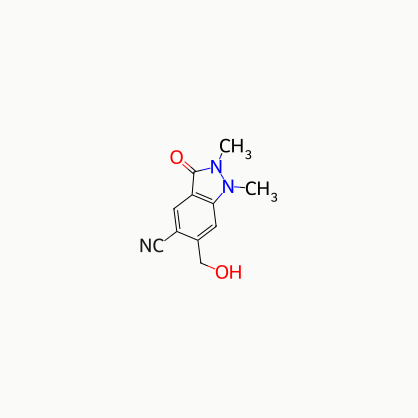 Cn1c(=O)c2cc(C#N)c(CO)cc2n1C